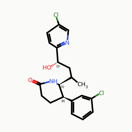 CC(C[C@H](O)c1ccc(Cl)cn1)[C@@H]1NC(=O)CC[C@@H]1c1cccc(Cl)c1